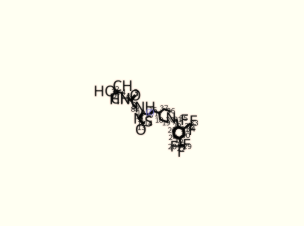 CC(C)(O)CNC(=O)CNC1=NC(=O)S/C1=C\C1CCN(Cc2ccc(C(F)(F)F)cc2C(F)(F)F)CC1